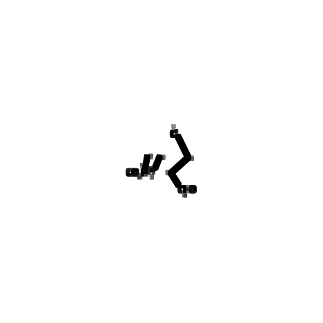 CC(=O)O.CCCC.O=CCCCl